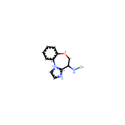 ClNC1COc2ccccc2-n2ccnc21